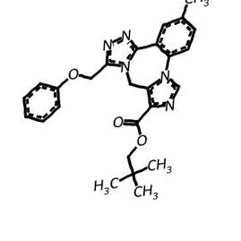 Cc1ccc2c(c1)-c1nnc(COc3ccccc3)n1Cc1c(C(=O)OCC(C)(C)C)ncn1-2